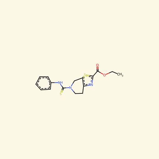 CCOC(=O)c1nc2c(s1)CN(C(=S)Nc1ccccc1)CC2